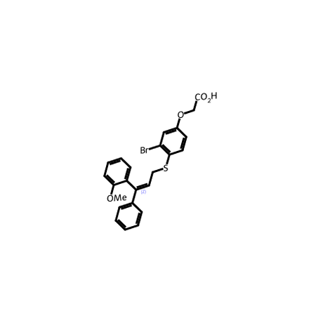 COc1ccccc1/C(=C\CSc1ccc(OCC(=O)O)cc1Br)c1ccccc1